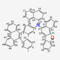 c1ccc(-c2c(-c3ccc(N(c4cccc5ccccc45)c4cc5c6ccccc6oc5c5ccccc45)cc3)c3ccccc3c3ccccc23)cc1